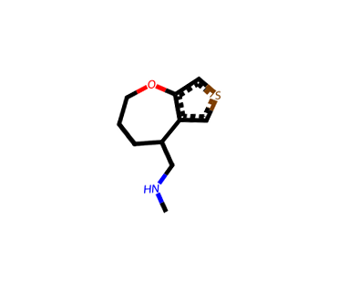 CNCC1CCCOc2cscc21